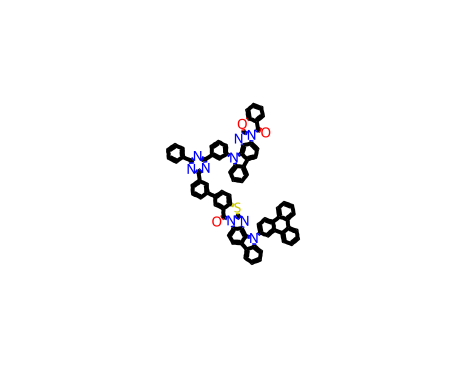 O=c1c2ccccc2oc2nc3c4c(ccc3n12)c1ccccc1n4-c1cccc(-c2nc(-c3ccccc3)nc(-c3cccc(-c4ccc5sc6nc7c8c(ccc7n6c(=O)c5c4)c4ccccc4n8-c4ccc5c6ccccc6c6ccccc6c5c4)c3)n2)c1